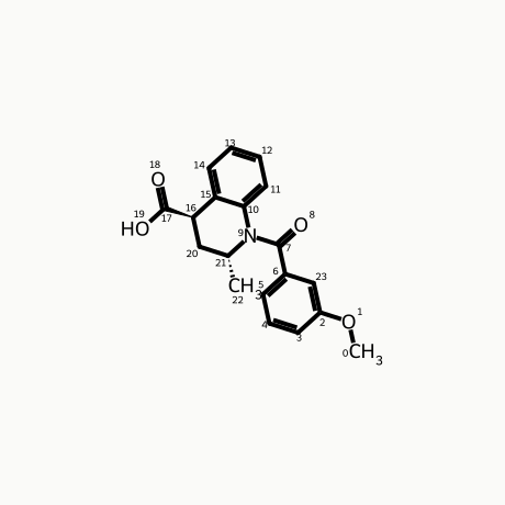 COc1cccc(C(=O)N2c3ccccc3[C@H](C(=O)O)C[C@H]2C)c1